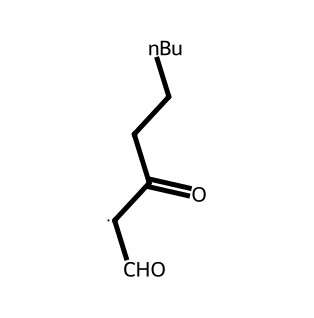 CCCCCCC(=O)[CH]C=O